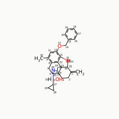 C=C1CC[C@@]2(O)[C@H]3Cc4c(C)cc(OCc5ccccc5)c5c4[C@@]2(CCN3C2CC2)[C@H]1O5